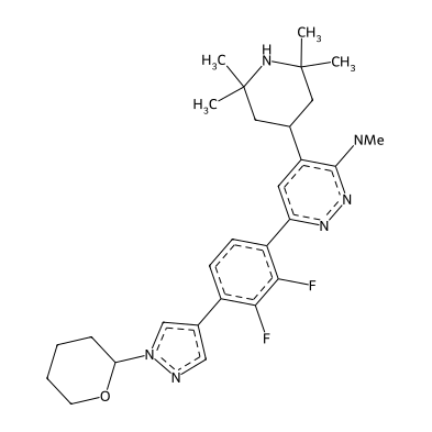 CNc1nnc(-c2ccc(-c3cnn(C4CCCCO4)c3)c(F)c2F)cc1C1CC(C)(C)NC(C)(C)C1